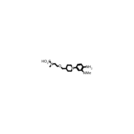 CNc1cc(N2CCC(COCCN(C)C(=O)O)CC2)ccc1N